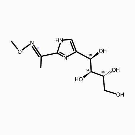 CO/N=C(\C)c1nc([C@@H](O)[C@H](O)[C@H](O)CO)c[nH]1